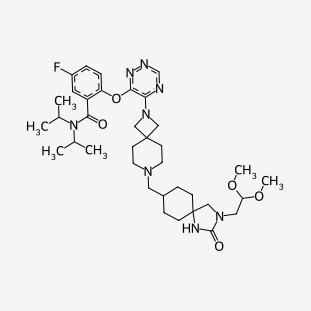 COC(CN1CC2(CCC(CN3CCC4(CC3)CN(c3ncnnc3Oc3ccc(F)cc3C(=O)N(C(C)C)C(C)C)C4)CC2)NC1=O)OC